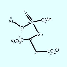 CCOC(=O)CC(SP(=S)(OC)OCC)C(=O)OCC